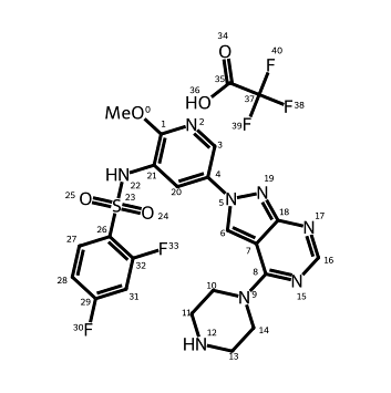 COc1ncc(-n2cc3c(N4CCNCC4)ncnc3n2)cc1NS(=O)(=O)c1ccc(F)cc1F.O=C(O)C(F)(F)F